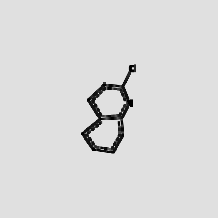 Clc1[c]cc2ccccc2n1